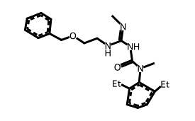 CCc1cccc(CC)c1N(C)C(=O)NC(=NC)NCCOCc1ccccc1